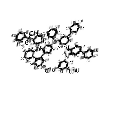 CC(C)(C)c1cc(-[n+]2cn(-c3cc(-c4ccccc4)cc(N(c4ccccc4)c4ccc5c(c4)N(c4cc(C(C)(C)c6ccccc6)ccn4)c4ccccc4-c4ccccc4-5)c3)c3ccc(-c4ccccc4)cc32)cc(C(C)(C)C)c1